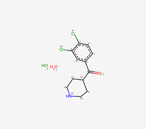 Cl.O.O=C(c1ccc(Cl)c(Cl)c1)C1CCNCC1